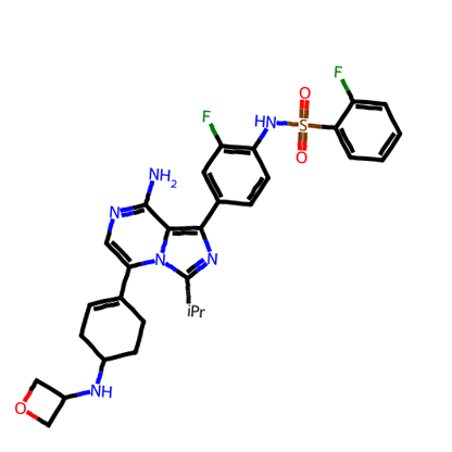 CC(C)c1nc(-c2ccc(NS(=O)(=O)c3ccccc3F)c(F)c2)c2c(N)ncc(C3=CCC(NC4COC4)CC3)n12